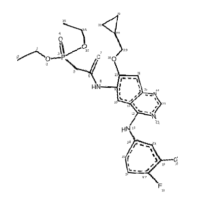 CCOP(=O)(CC(=O)Nc1cc2c(Nc3ccc(F)c(Cl)c3)ncnc2cc1OCC1CC1)OCC